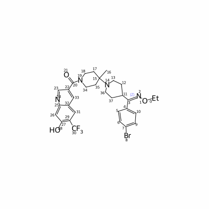 CCO/N=C(\c1ccc(Br)cc1)C1CCN(C2(C)CCN(C(=O)c3cnc4cc(O)c(C(F)(F)F)cc4c3)CC2)CC1